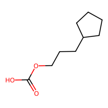 O=C(O)OCCCC1CCCC1